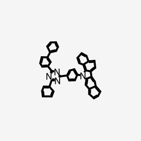 c1ccc(-c2cccc(-c3nc(-c4ccccc4)nc(-c4ccc(-n5c6cc7ccccc7cc6c6ccc7ccccc7c65)cc4)n3)c2)cc1